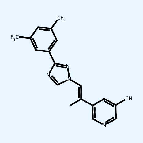 C/C(=C\n1cnc(-c2cc(C(F)(F)F)cc(C(F)(F)F)c2)n1)c1cncc(C#N)c1